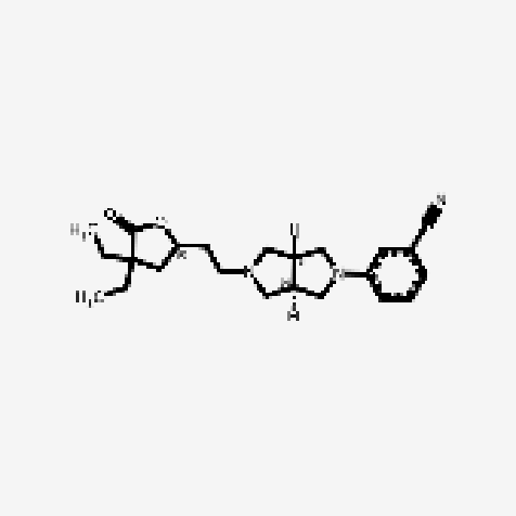 CCC1(CC)C[C@H](CCN2C[C@@H]3CN(c4cccc(C#N)c4)C[C@H]3C2)OC1=O